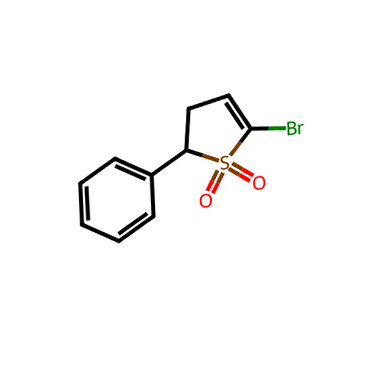 O=S1(=O)C(Br)=CCC1c1ccccc1